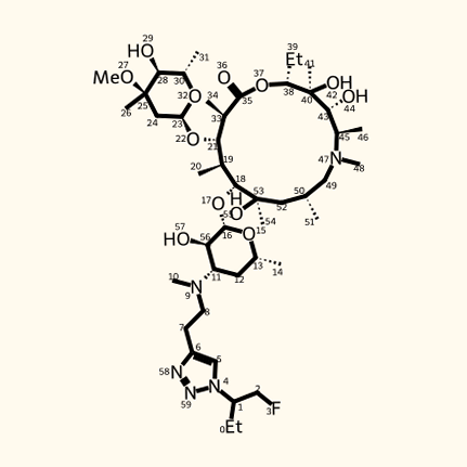 CCC(CF)n1cc(CCN(C)[C@H]2C[C@@H](C)O[C@@H](O[C@@H]3[C@@H](C)[C@H](O[C@H]4C[C@@](C)(OC)[C@@H](O)[C@H](C)O4)[C@@H](C)C(=O)O[C@H](CC)[C@@](C)(O)[C@H](O)[C@@H](C)N(C)C[C@H](C)C[C@@]3(C)O)[C@@H]2O)nn1